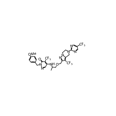 COc1ccc(Cn2ncc(NC(C)COCc3nn4c(c3C(F)(F)F)CN(c3ncc(C(F)(F)F)cn3)CC4)c(C(F)(F)F)c2=O)cc1